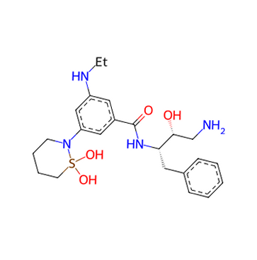 CCNc1cc(C(=O)N[C@@H](Cc2ccccc2)[C@H](O)CN)cc(N2CCCCS2(O)O)c1